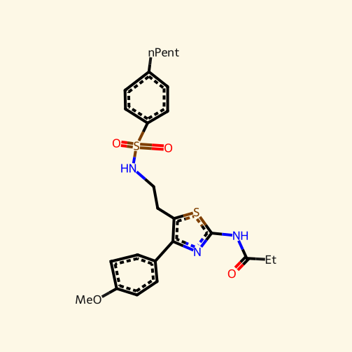 CCCCCc1ccc(S(=O)(=O)NCCc2sc(NC(=O)CC)nc2-c2ccc(OC)cc2)cc1